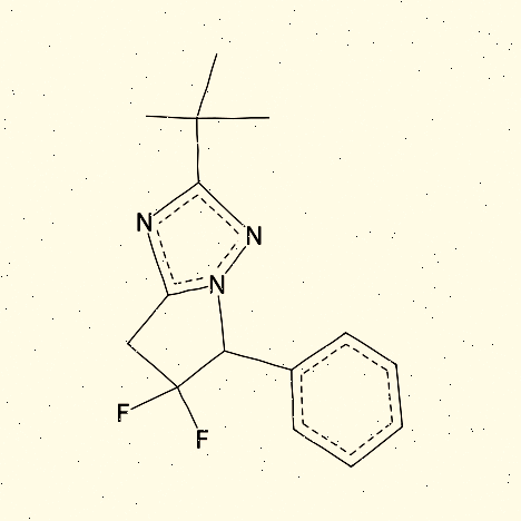 CC(C)(C)c1nc2n(n1)C(c1ccccc1)C(F)(F)C2